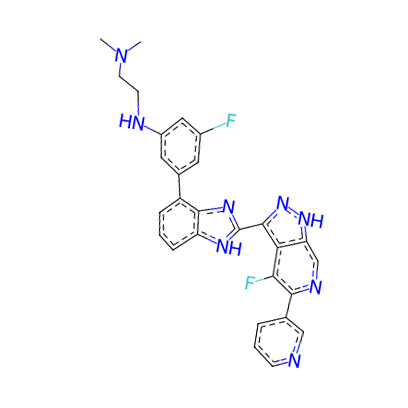 CN(C)CCNc1cc(F)cc(-c2cccc3[nH]c(-c4n[nH]c5cnc(-c6cccnc6)c(F)c45)nc23)c1